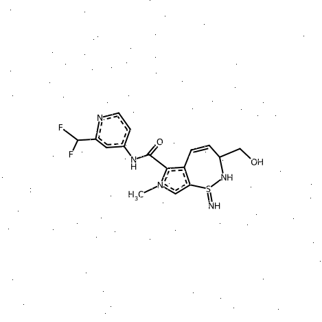 Cn1cc2c(c1C(=O)Nc1ccnc(C(F)F)c1)C=CC(CO)NS2=N